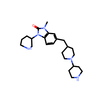 Cn1c(=O)n(C2CCCNC2)c2ccc(CC3CCN(C4CCNCC4)CC3)cc21